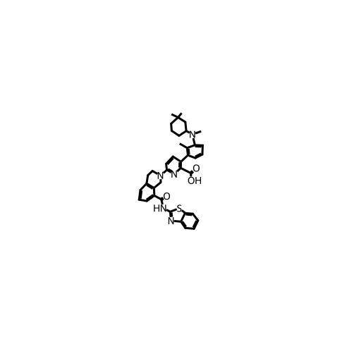 Cc1c(-c2ccc(N3CCc4cccc(C(=O)Nc5nc6ccccc6s5)c4C3)nc2C(=O)O)cccc1N(C)C1CCCC(C)(C)C1